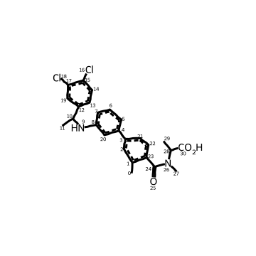 Cc1cc(-c2cccc(NC(C)c3ccc(Cl)c(Cl)c3)c2)ccc1C(=O)N(C)C(C)C(=O)O